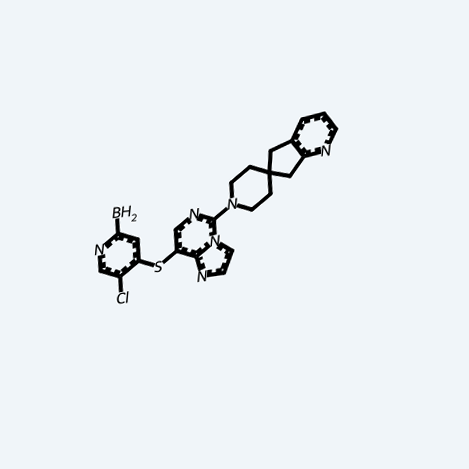 Bc1cc(Sc2cnc(N3CCC4(CC3)Cc3cccnc3C4)n3ccnc23)c(Cl)cn1